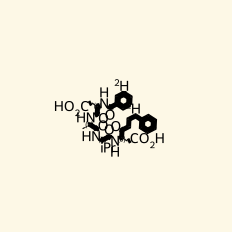 [2H]c1cc([2H])cc(C(=O)N[C@@H](CC(=O)O)C(=O)N[C@@H](C)C(=O)N[C@H](C(=O)N[C@@H](CC(=O)O)C(=O)CCCc2ccccc2)C(C)C)c1